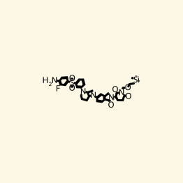 C[Si](C)(C)CCOCN1C(=O)CC[C@@H](N2Cc3cc(N4CC5C4CCCN5c4cccc(S(=O)(=O)c5ccc(N)c(F)c5)c4)ccc3C2=O)C1=O